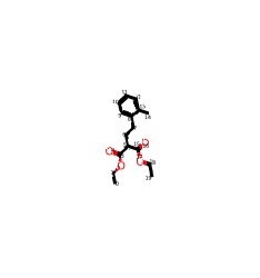 CCOC(=O)C(CCc1ccccc1C)C(=O)OCC